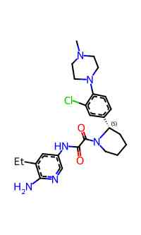 CCc1cc(NC(=O)C(=O)N2CCCC[C@H]2c2ccc(N3CCN(C)CC3)c(Cl)c2)cnc1N